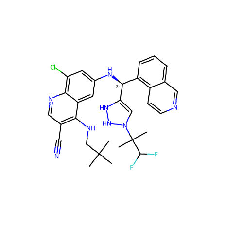 CC(C)(C)CNc1c(C#N)cnc2c(Cl)cc(N[C@H](C3=CN(C(C)(C)C(F)F)NN3)c3cccc4cnccc34)cc12